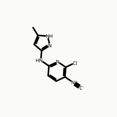 [C-]#[N+]c1ccc(Nc2cc(C)[nH]n2)nc1Cl